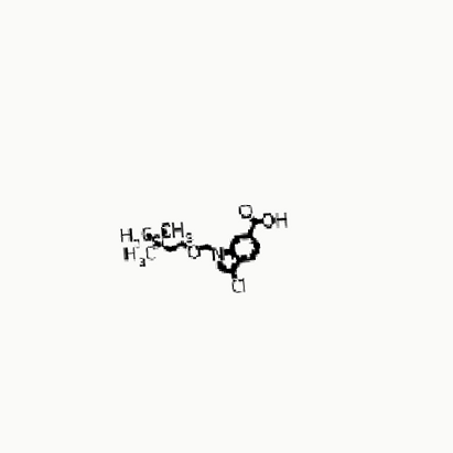 C[Si](C)(C)CCOCn1cc(Cl)c2ccc(C(=O)O)cc21